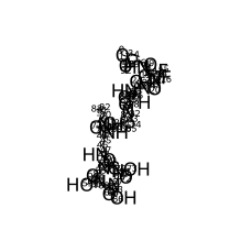 COc1ccc(CNC(=O)C(=O)[C@@H]2CC(F)(F)CN2C(=O)CNC(=O)[C@@H]2C[C@@H](CC(=O)N3Cc4cccc(CCC(=O)NC(CCCCNC(=O)CN5CCN(CC(=O)O)CCN(CC(=O)O)CCN(CC(=O)O)CC5)C(=O)NCCC(C)C)c4C3)C(=O)N2)cc1OC